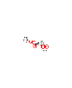 C=C(C)C(=O)OC1(C)C2CC3CC1CC(C(=O)OCOCC14CC5CC(CC(C5)C1)C4)(C3)C2